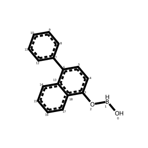 OBOc1ccc(-c2ccccc2)c2ccccc12